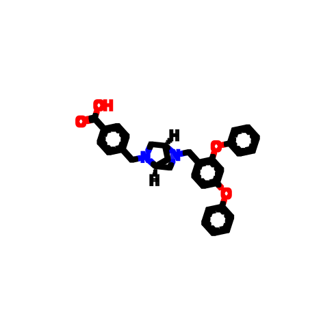 O=C(O)c1ccc(CN2C[C@@H]3C[C@H]2CN3Cc2ccc(Oc3ccccc3)cc2Oc2ccccc2)cc1